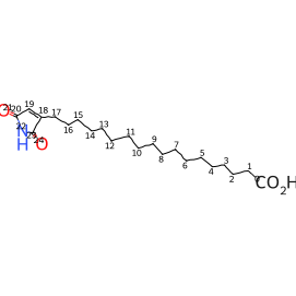 O=C(O)CCCCCCCCCCCCCCCCCC1=CC(=O)NC1=O